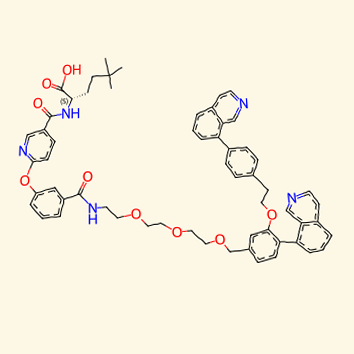 CC(C)(C)CC[C@H](NC(=O)c1ccc(Oc2cccc(C(=O)NCCOCCOCCOCc3ccc(-c4cccc5ccncc45)c(OCCc4ccc(-c5cccc6ccncc56)cc4)c3)c2)nc1)C(=O)O